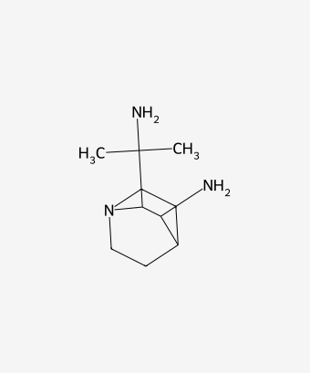 CC(C)(N)C1C(N)C2CCN1CC2